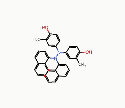 Cc1cc(N(c2ccc(O)c(C)c2)N(c2cccc3ccccc23)c2cccc3ccccc23)ccc1O